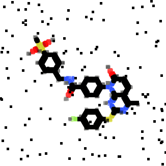 Cc1nc(Sc2ccc(F)cc2)nc2c1ccc(=O)n2-c1ccc(C(=O)NCc2ccc(S(C)(=O)=O)cc2)cc1